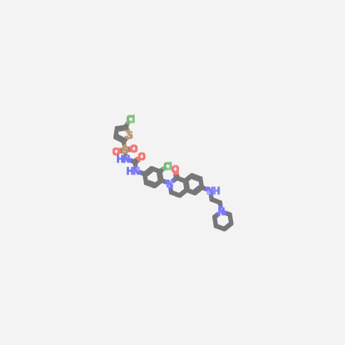 O=C(Nc1ccc(N2CCc3cc(NCCN4CCCCC4)ccc3C2=O)c(Cl)c1)NS(=O)(=O)c1ccc(Cl)s1